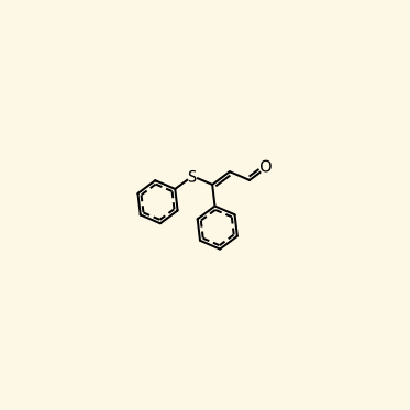 O=CC=C(Sc1ccccc1)c1ccccc1